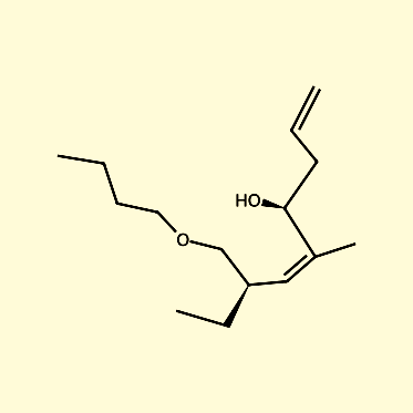 C=CC[C@H](O)/C(C)=C\[C@@H](CC)COCCCC